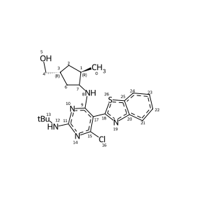 C[C@@H]1C[C@@H](CO)CC1Nc1nc(NC(C)(C)C)nc(Cl)c1-c1nc2ccccc2s1